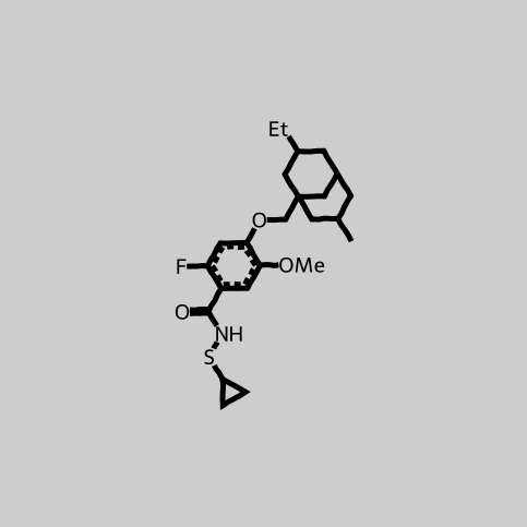 CCC1CC2CC(C)CC(COc3cc(F)c(C(=O)NSC4CC4)cc3OC)(C1)C2